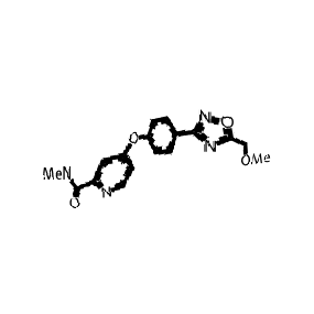 CNC(=O)c1cc(Oc2ccc(-c3noc(COC)n3)cc2)ccn1